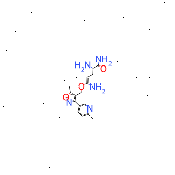 Cc1ccc(-c2noc(C)c2CO/C(N)=C/CC(N)C(N)=O)cn1